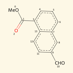 COC(=O)c1cccc2cc(C=O)ccc12